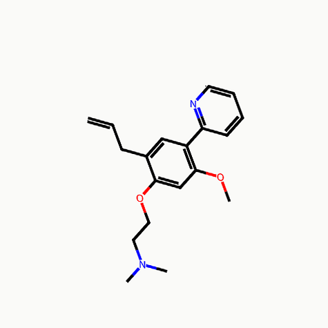 C=CCc1cc(-c2ccc[c]n2)c(OC)cc1OCCN(C)C